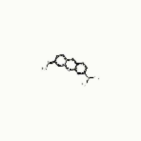 C/N=c1/ccc2cc3ccc(N(C)C)cc3sc-2c1